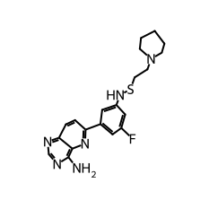 Nc1ncnc2ccc(-c3cc(F)cc(NSCCN4CCCCC4)c3)nc12